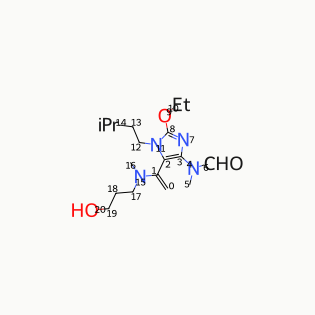 C=C(c1c(N(C)C=O)nc(OCC)n1CCC(C)C)N(C)CCCO